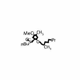 CCCC[S+]([O-])Cc1cc(OC)c(C)cc1OCCC(C)CCCC(C)C